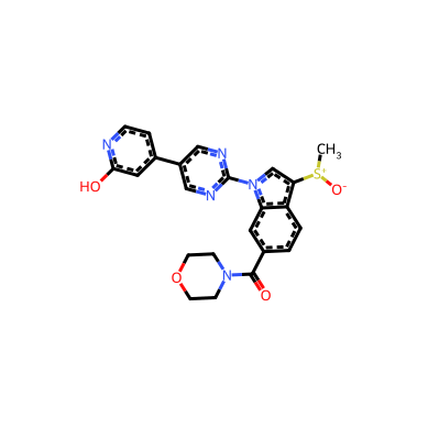 C[S+]([O-])c1cn(-c2ncc(-c3ccnc(O)c3)cn2)c2cc(C(=O)N3CCOCC3)ccc12